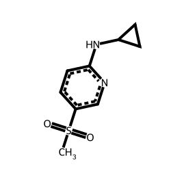 CS(=O)(=O)c1ccc(NC2CC2)nc1